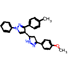 COc1ccc(C2=NNC(c3cn(-c4ccccc4)nc3-c3ccc(C)cc3)C2)cc1